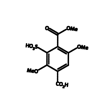 COC(=O)c1c(OC)cc(C(=O)O)c(OC)c1S(=O)(=O)O